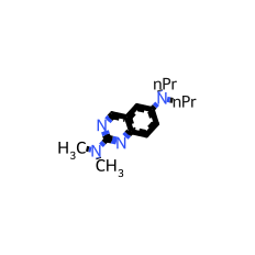 CCCN(CCC)c1ccc2nc(N(C)C)ncc2c1